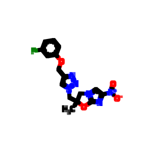 CC1(Cn2cc(COc3cccc(F)c3)nn2)Cn2cc([N+](=O)[O-])nc2O1